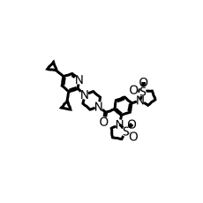 O=C(c1ccc(N2CCCS2(=O)=O)cc1N1CCCS1(=O)=O)N1CCN(c2ncc(C3CC3)cc2C2CC2)CC1